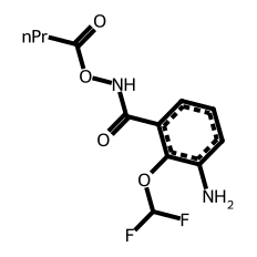 CCCC(=O)ONC(=O)c1cccc(N)c1OC(F)F